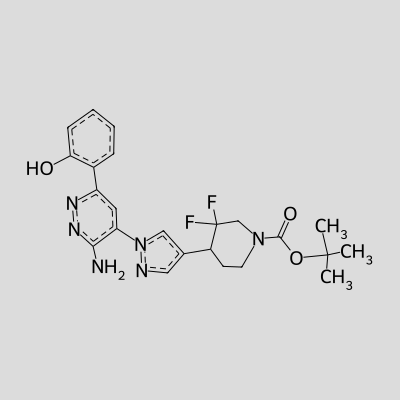 CC(C)(C)OC(=O)N1CCC(c2cnn(-c3cc(-c4ccccc4O)nnc3N)c2)C(F)(F)C1